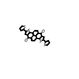 O=C1c2cc(-c3cccs3)sc2-c2ccc3c4c(ccc1c24)-c1sc(-c2cccs2)cc1C3=O